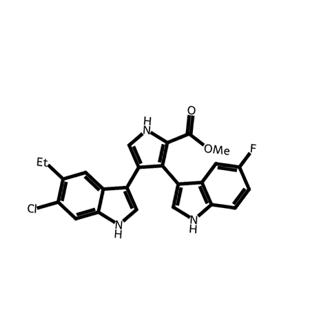 CCc1cc2c(-c3c[nH]c(C(=O)OC)c3-c3c[nH]c4ccc(F)cc34)c[nH]c2cc1Cl